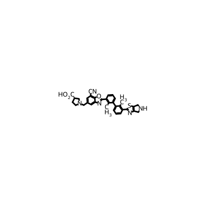 Cc1c(-c2nc3cc(CN4CC[C@@H](C(=O)O)C4)cc(C#N)c3o2)cccc1-c1cccc(-c2nc3c(s2)CNC3)c1C